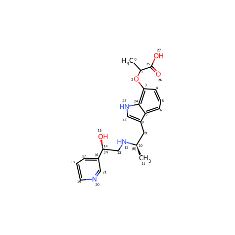 CC(Oc1cccc2c(C[C@@H](C)NC[C@H](O)c3cccnc3)c[nH]c12)C(=O)O